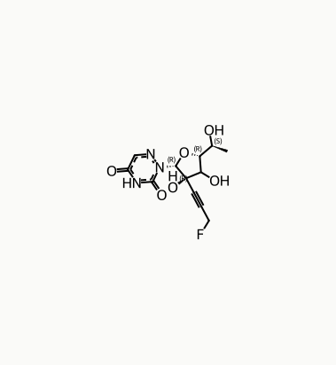 C[C@H](O)[C@H]1O[C@@H](n2ncc(=O)[nH]c2=O)[C@@](O)(C#CCF)C1O